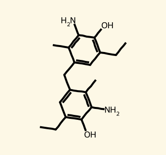 CCc1cc(Cc2cc(CC)c(O)c(N)c2C)c(C)c(N)c1O